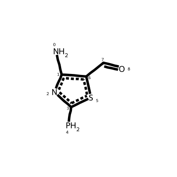 Nc1nc(P)sc1C=O